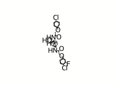 O=C(COc1ccc(Cl)c(F)c1)NC12CCC(NC(=O)COc3ccc(Cl)cc3)(CC1)[C@@H](O)C2